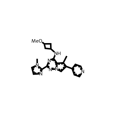 COC1CC(Nc2nc(-c3nccn3C)nn3cc(-c4ccncc4)c(C)c23)C1